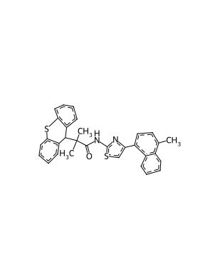 Cc1ccc(-c2csc(NC(=O)C(C)(C)C3c4ccccc4Sc4ccccc43)n2)c2ccccc12